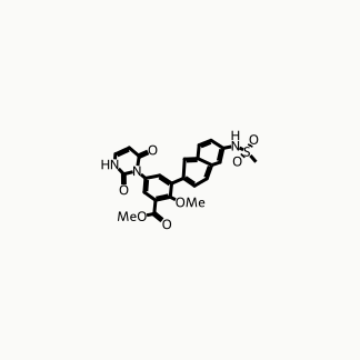 COC(=O)c1cc(-n2c(=O)cc[nH]c2=O)cc(-c2ccc3cc(NS(C)(=O)=O)ccc3c2)c1OC